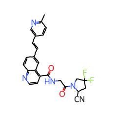 Cc1ccc(/C=C/c2ccc3nccc(C(=O)NCC(=O)N4CC(F)(F)CC4C#N)c3c2)cn1